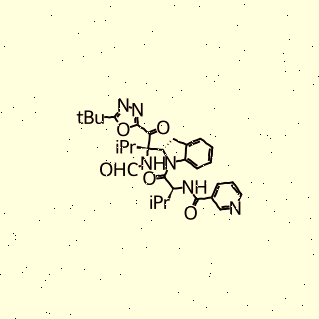 CC(C)[C@H](NC(=O)c1cccnc1)C(=O)N1c2ccccc2C[C@H]1[C@](NC=O)(C(=O)c1nnc(C(C)(C)C)o1)C(C)C